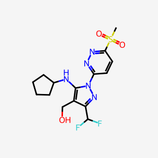 CS(=O)(=O)c1ccc(-n2nc(C(F)F)c(CO)c2NC2CCCC2)nn1